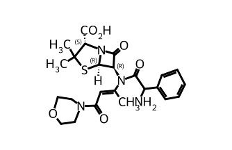 CC(=CC(=O)N1CCOCC1)N(C(=O)C(N)c1ccccc1)[C@@H]1C(=O)N2[C@@H]1SC(C)(C)[C@@H]2C(=O)O